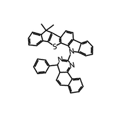 CC1(C)c2ccccc2-c2sc3c(ccc4c5ccccc5n(C5=NC(c6ccccc6)C6C=Cc7ccccc7C6=N5)c43)c21